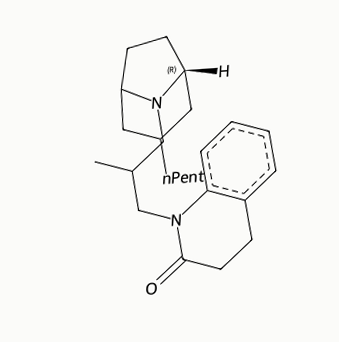 CCCCCC1CC2CC[C@H](C1)N2CC(C)CN1C(=O)CCc2ccccc21